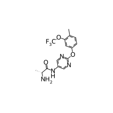 Cc1ccc(Oc2ncc(NC(=O)[C@@H](C)N)cn2)cc1OC(F)(F)F